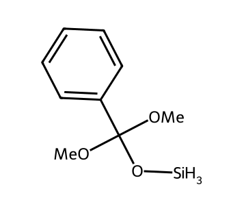 COC(OC)(O[SiH3])c1ccccc1